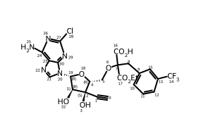 C#C[C@@]1(O)[C@@H](COC(Cc2cccc(C(F)(F)F)c2)(C(=O)O)C(=O)OCC)O[C@@H](n2cnc3c(N)nc(Cl)nc32)[C@@H]1O